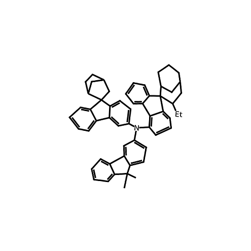 CCC1CC2CCCC(C2)C12c1ccccc1-c1c(N(c3ccc4c(c3)-c3ccccc3C4(C)C)c3ccc4c(c3)-c3ccccc3C43CC4CCC3C4)cccc12